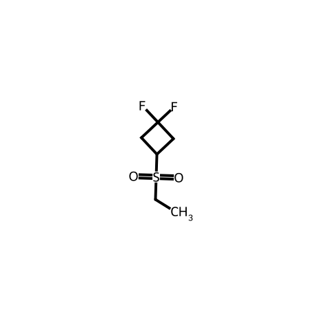 CCS(=O)(=O)C1CC(F)(F)C1